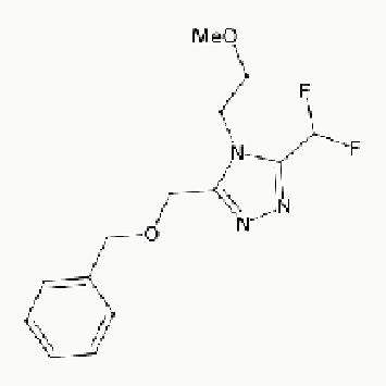 COCCn1c(COCc2ccccc2)nnc1C(F)F